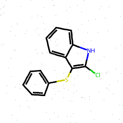 Clc1[nH]c2ccccc2c1Sc1ccccc1